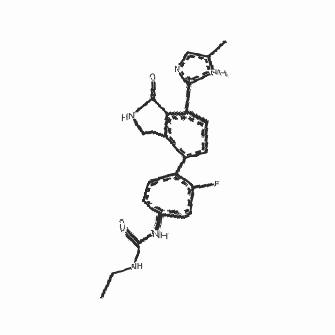 CCNC(=O)Nc1ccc(-c2ccc(-c3ncc(C)[nH]3)c3c2CNC3=O)c(F)c1